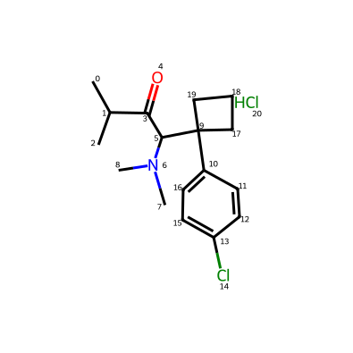 CC(C)C(=O)C(N(C)C)C1(c2ccc(Cl)cc2)CCC1.Cl